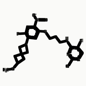 COC1CC2(C1)CN(c1cc(OCCCNc3nc(Cl)ncc3Cl)c([N+](=O)[O-])cc1F)C2